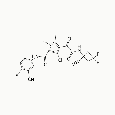 C#CC1(NC(=O)C(=O)c2c(Cl)c(C(=O)Nc3ccc(F)c(C#N)c3)n(C)c2C)CC(F)(F)C1